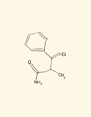 C[C](C(N)=O)C(=O)c1ccccc1